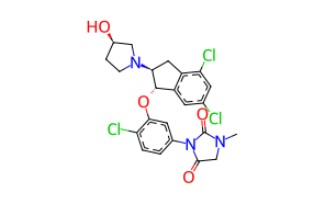 CN1CC(=O)N(c2ccc(Cl)c(O[C@H]3c4cc(Cl)cc(Cl)c4C[C@@H]3N3CC[C@@H](O)C3)c2)C1=O